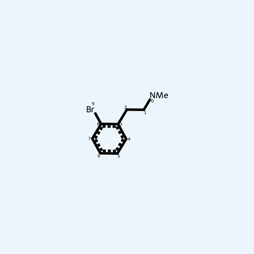 CNCCc1ccccc1Br